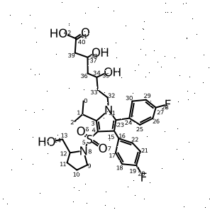 CC(C)c1c(S(=O)(=O)N2CCCC2CO)c(-c2ccc(F)cc2)c(-c2ccc(F)cc2)n1CCC(O)CC(O)CC(=O)O